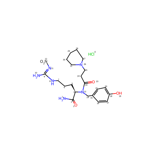 Cl.NC(=O)[C@@H](CCCNC(N)=N[N+](=O)[O-])N(Cc1ccc(O)cc1)C(=O)CCN1CCCCC1